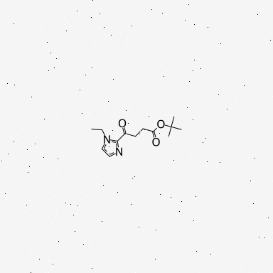 CCn1ccnc1C(=O)CCC(=O)OC(C)(C)C